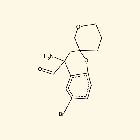 NC1(C=O)CC2(CCCOC2)Oc2ccc(Br)cc21